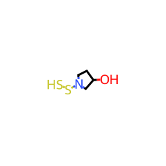 OC1CCN(SS)C1